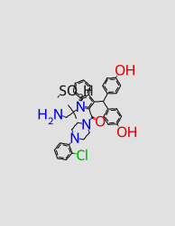 CC(C)(CN)n1c(C(=O)N2CCN(c3ccccc3Cl)CC2)c(C(c2ccc(O)cc2)c2ccc(O)cc2)c2ccccc21.CS(=O)(=O)O